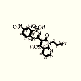 CC(C)CCn1c(=O)c(C2=NS(O)(O)c3cc([N+](=O)[O-])ccc3N2)c(O)c2cccnc21